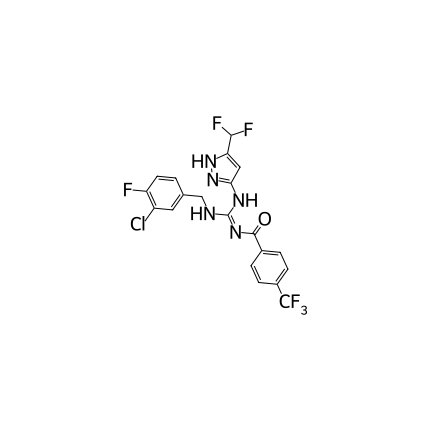 O=C(/N=C(/NCc1ccc(F)c(Cl)c1)Nc1cc(C(F)F)[nH]n1)c1ccc(C(F)(F)F)cc1